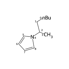 CCCCCC(C)n1cccc1